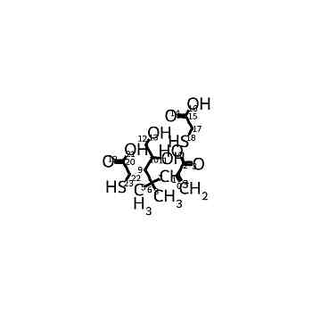 C=CC(=O)O.CC(C)(C)CC(O)CO.O=C(O)CS.O=C(O)CS